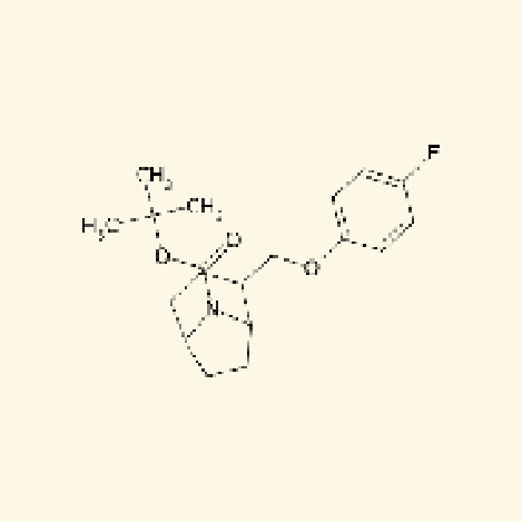 CC(C)(C)OC(=O)N1C2CCC(COc3ccc(F)cc3)C1CC2